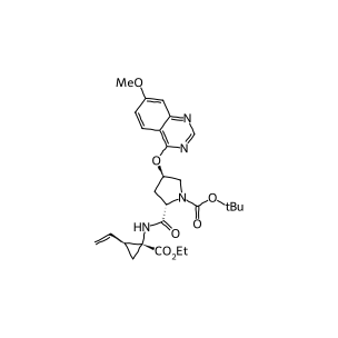 C=C[C@@H]1C[C@]1(NC(=O)[C@@H]1C[C@@H](Oc2ncnc3cc(OC)ccc23)CN1C(=O)OC(C)(C)C)C(=O)OCC